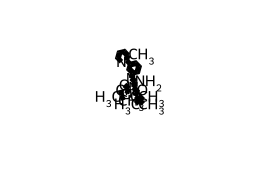 Cc1cccnc1-c1cccc(N=C(N)N(C(=O)OC(C)(C)C)C(=O)OC(C)(C)C)c1